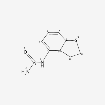 NC(=O)NC1=CC=CC2SCCC12